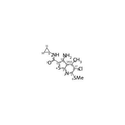 CSc1nc2sc(C(=O)NC3CC3)c(N)c2c(C)c1Cl